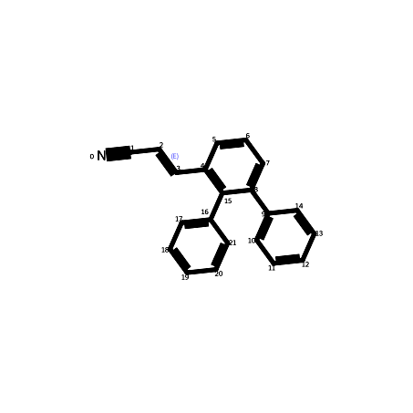 N#C/C=C/c1cccc(-c2ccccc2)c1-c1ccccc1